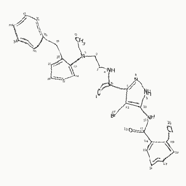 CN(CCNC(=O)c1n[nH]c(NC(=O)c2ccccc2Cl)c1Br)c1ccccc1Cc1ccccc1